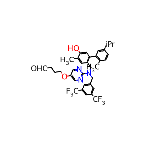 Cc1cc(CN(Cc2cc(C(F)(F)F)cc(C(F)(F)F)c2)c2ncc(OCCCC=O)cn2)c(-c2cc(C(C)C)ccc2C)cc1O